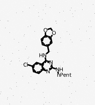 CCCCCNc1nc(NCc2ccc3c(c2)OCO3)c2cc(Cl)ccc2n1